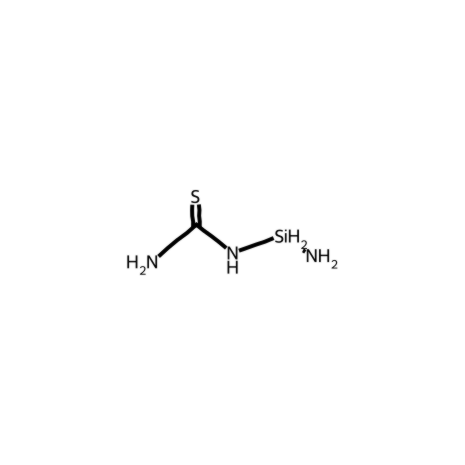 N[SiH2]NC(N)=S